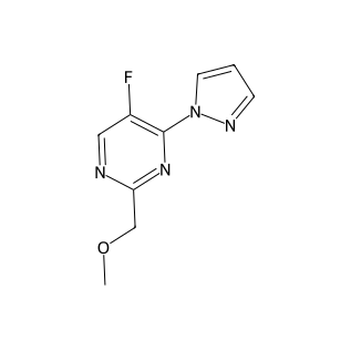 COCc1ncc(F)c(-n2cccn2)n1